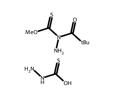 COC(=S)N(N)C(=O)C(C)(C)C.NNC(O)=S